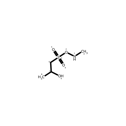 CNOS(=O)(=O)CC(C)O